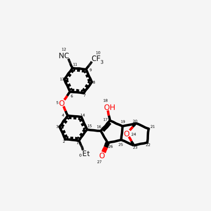 CCc1ccc(Oc2ccc(C(F)(F)F)c(C#N)c2)cc1C1=C(O)C2C3CCC(O3)C2C1=O